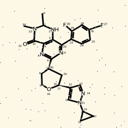 CC1Nc2c(nc([C@@H]3CCO[C@H](c4cnn(C5CC5)c4)C3)nc2-c2ccc(F)cc2F)C(=O)N1C